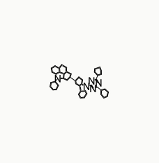 c1ccc(-c2nc(-c3ccccc3)nc(-n3c4ccccc4c4cc(-c5cc6ccc7cccc8c7c6c(c5)n8-c5ccccc5)ccc43)n2)cc1